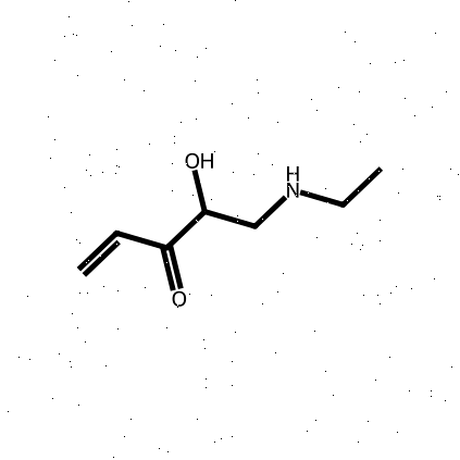 C=CC(=O)C(O)CNCC